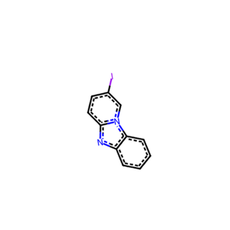 Ic1ccc2nc3ccccc3n2c1